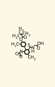 Cc1cc(N=S(=O)=O)c(-c2ccc(OC(=O)C(C)(C)C)c(C)c2)c(C(=S)NCC(=O)O)c1